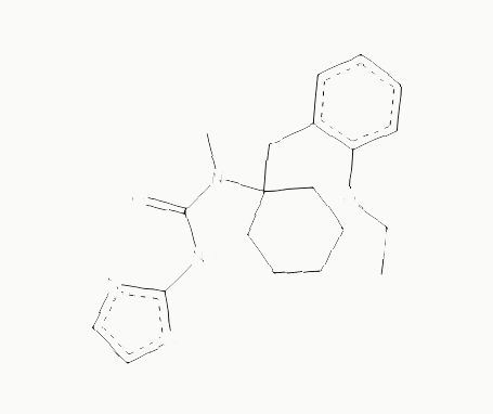 CCOc1ccccc1CC1(N(C)C(=O)Nc2nccs2)CCCCC1